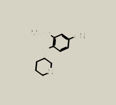 COc1cc(C#N)ccc1O[C@H]1CCC[N]C1